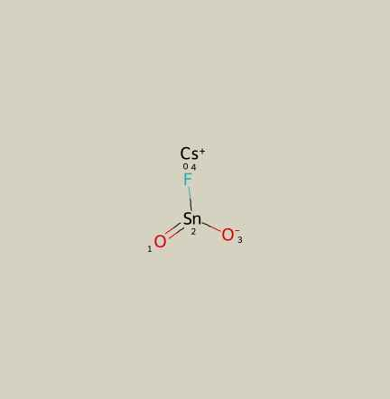 [Cs+].[O]=[Sn]([O-])[F]